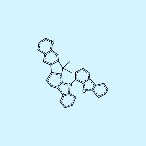 CC1(C)c2cc3ncccc3cc2-c2ccc3c4ccccc4n(-c4cccc5c4oc4ccccc45)c3c21